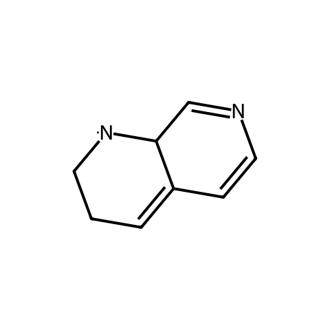 C1=CC2=CCC[N]C2C=N1